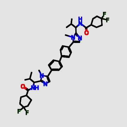 CC(C)C(NC(=O)C1CCC(F)(F)CC1)c1ncc(-c2ccc(-c3ccc(-c4cnc([C@@H](NC(=O)C5CCC(F)(F)CC5)C(C)C)n4C)cc3)cc2)n1C